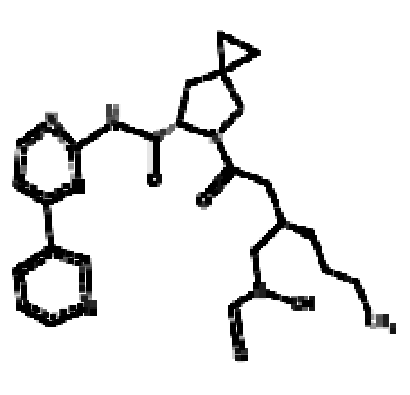 CCCC[C@H](CC(=O)N1CC2(CC2)C[C@H]1C(=O)Nc1nccc(-c2cccnc2)n1)CN(O)C=O